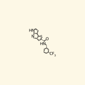 O=C(NCc1cccc(C(F)(F)F)c1)c1cc2cnc3[nH]ccc3c2s1